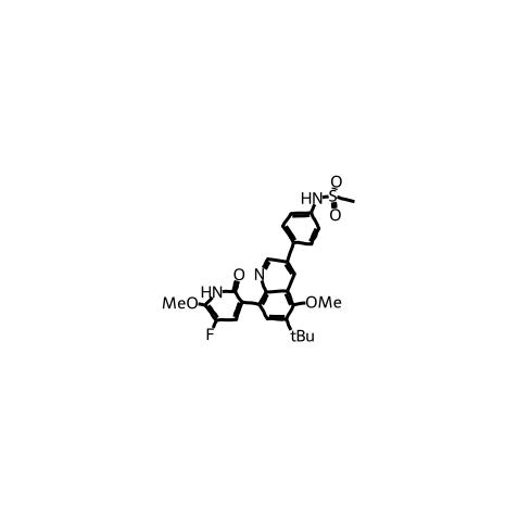 COc1[nH]c(=O)c(-c2cc(C(C)(C)C)c(OC)c3cc(-c4ccc(NS(C)(=O)=O)cc4)cnc23)cc1F